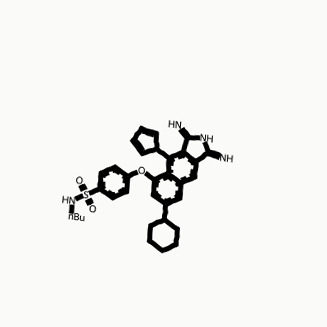 CCCCNS(=O)(=O)c1ccc(Oc2cc(C3CCCCC3)cc3cc4c(c(C5C=CC=C5)c23)C(=N)NC4=N)cc1